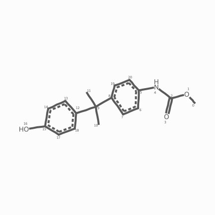 COC(=O)Nc1ccc(C(C)(C)c2ccc(O)cc2)cc1